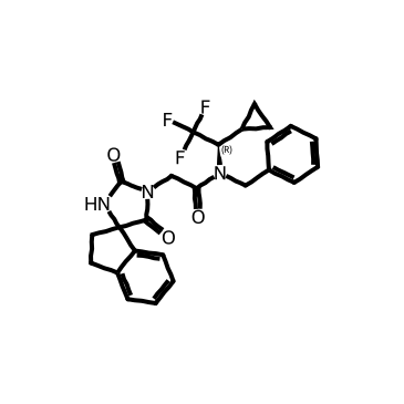 O=C1NC2(CCc3ccccc32)C(=O)N1CC(=O)N(Cc1ccccc1)[C@H](C1CC1)C(F)(F)F